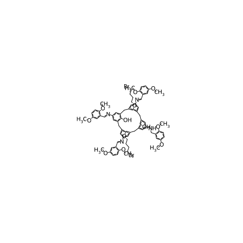 COc1ccc(OC)c(/C=N/c2cc3c(O)c(c2)Cc2cc(/N=C/c4cc(OC)ccc4OC)cc(c2OCCCCBr)Cc2cc(NCc4cc(OC)ccc4OC)cc(c2O)Cc2cc(/N=C/c4cc(OC)ccc4OC)cc(c2OCCCCBr)C3)c1